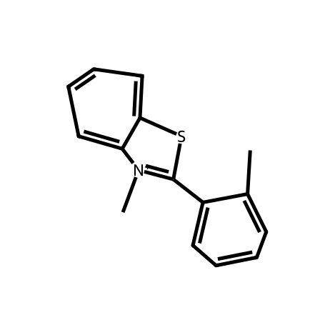 Cc1ccccc1-c1sc2ccccc2[n+]1C